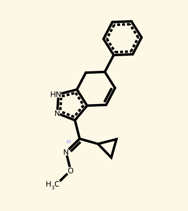 CO/N=C(/c1n[nH]c2c1C=CC(c1ccccc1)C2)C1CC1